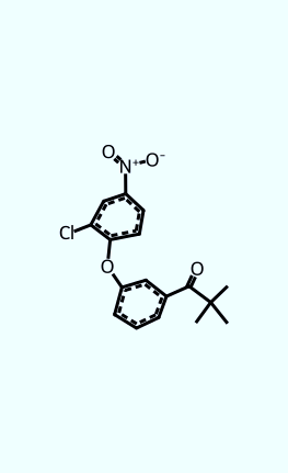 CC(C)(C)C(=O)c1cccc(Oc2ccc([N+](=O)[O-])cc2Cl)c1